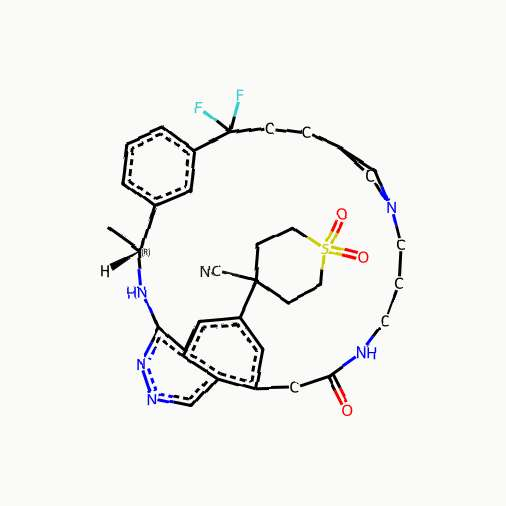 C[C@H]1Nc2nncc3c(cc(C4(C#N)CCS(=O)(=O)CC4)cc23)CC(=O)NCCCN2CC(CCC(F)(F)c3cccc1c3)C2